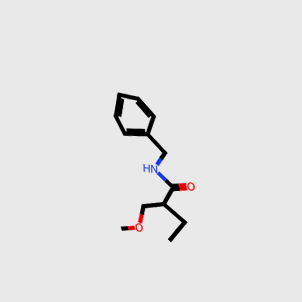 CCC(COC)C(=O)NCc1ccccc1